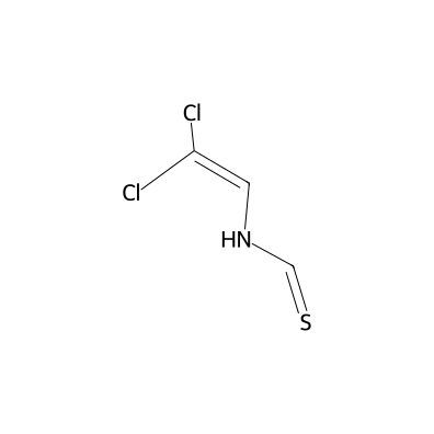 S=CNC=C(Cl)Cl